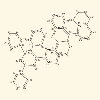 C1=CCC2C(=C1)C(c1cccc(-c3c(-c4ccccc4)nc(-c4ccccc4)nc3-c3ccccc3)c1)=c1ccccc1=C2c1cccc2c1CCC=C2